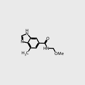 COCNC(=O)c1cc(C)c2nc[nH]c2c1